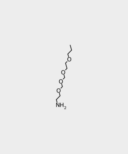 CCCOCCOCOCOCCN